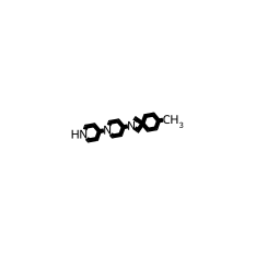 CC1CCC2(CC1)CN(C1CCN(C3CCNCC3)CC1)C2